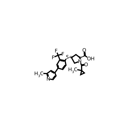 Cc1cc(-c2ccc(S[C@@H]3C[C@@H](C(=O)O)N(C(=O)C4(C)CC4)C3)c(C(F)(F)F)c2)ccn1